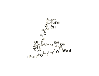 CCCCCC(OCCOCCOC(CCCCC)C(CO)OC(CO)C(CCCCC)OCCOCCOC(CCCCC)C(O)CO)C(O)CO